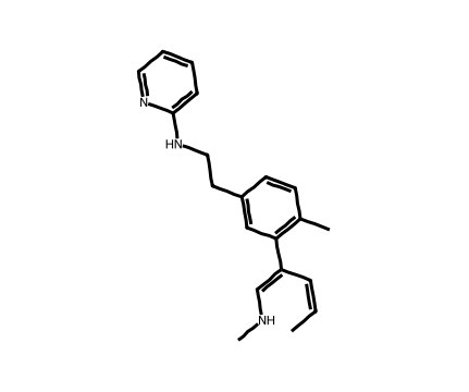 C/C=C\C(=C/NC)c1cc(CCNc2ccccn2)ccc1C